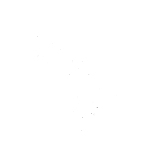 CC(C)c1ccc(CC[N+](C)(C)CC(O)c2cc(O)cc3c2OCC(=O)N3)cc1